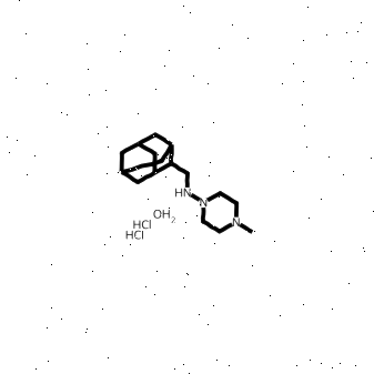 CN1CCN(NCC2C3CC4CC(C3)CC2C4)CC1.Cl.Cl.O